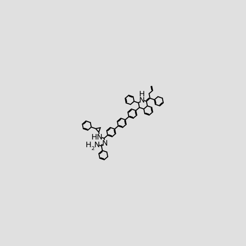 C=CC/C(C1=CC=CCC1)=C1\NC(C2C=CC=CC2)C(c2ccc(-c3ccc(-c4ccc(C(/N=C(\N)C5=CC=CCC5)NC5CC5C5C=CC=CC5)cc4)cc3)cc2)C2C=CC=CC12